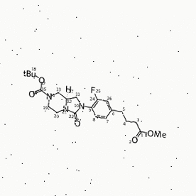 COC(=O)CCCc1ccc(N2C[C@@H]3CN(C(=O)OC(C)(C)C)CCN3C2=O)c(F)c1